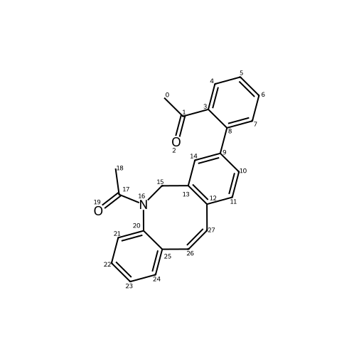 CC(=O)c1ccccc1-c1ccc2c(c1)CN(C(C)=O)c1ccccc1C=C2